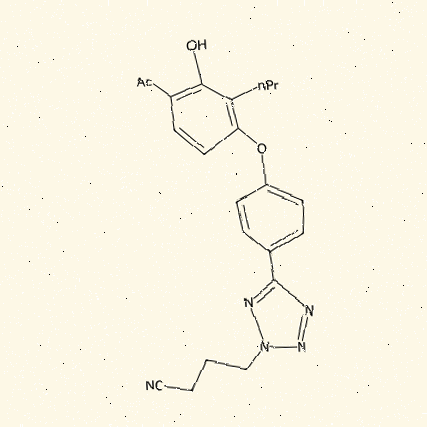 CCCc1c(Oc2ccc(-c3nnn(CCCC#N)n3)cc2)ccc(C(C)=O)c1O